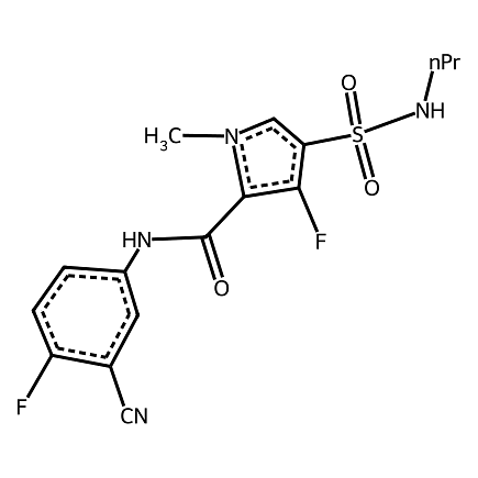 CCCNS(=O)(=O)c1cn(C)c(C(=O)Nc2ccc(F)c(C#N)c2)c1F